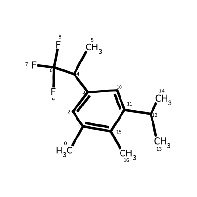 Cc1cc(C(C)C(F)(F)F)cc(C(C)C)c1C